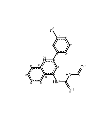 N=C(NC=O)Nc1cc(-c2cccc(Cl)c2)nc2ccccc12